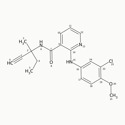 C#CC(C)(CC)NC(=O)c1cccnc1Nc1ccc(OC)c(Cl)c1